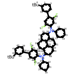 CC(C)(C)c1cccc(-c2cc(F)c(N(c3ccccc3)c3ccc4ccc5c(N(c6ccccc6)c6cc(F)c(-c7cccc(C(C)(C)C)c7)cc6F)ccc6ccc3c4c65)cc2F)c1